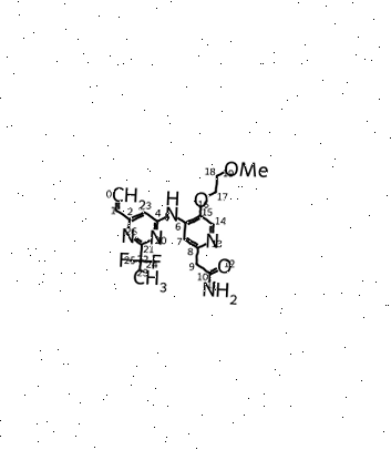 C=Cc1cc(Nc2cc(CC(N)=O)ncc2OCCOC)nc(C(C)(F)F)n1